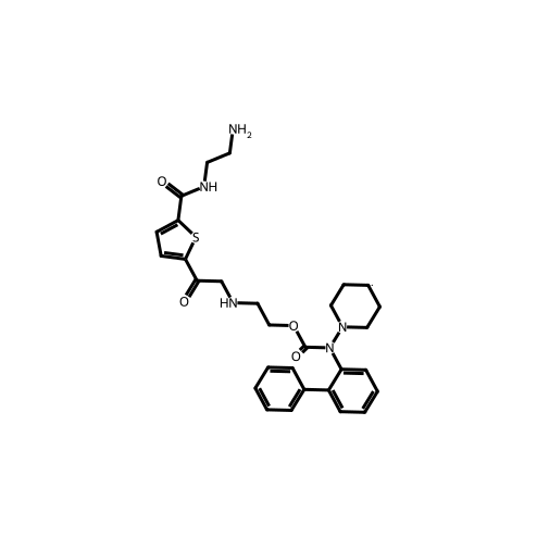 NCCNC(=O)c1ccc(C(=O)CNCCOC(=O)N(c2ccccc2-c2ccccc2)N2CC[CH]CC2)s1